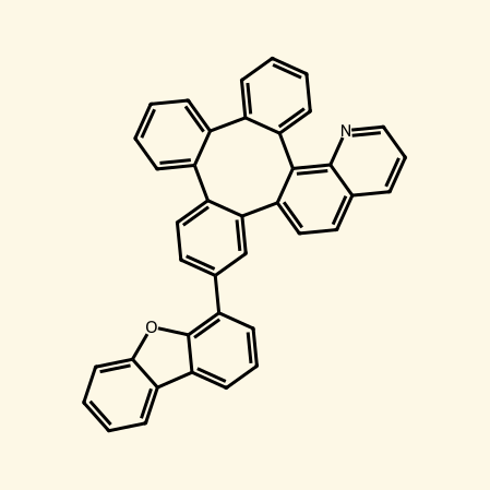 c1ccc2c(c1)-c1ccc(-c3cccc4c3oc3ccccc34)cc1-c1ccc3cccnc3c1-c1ccccc1-2